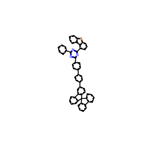 c1ccc(-c2nc(-c3ccc(-c4ccc(-c5ccc6c(c5)-c5ccccc5C65c6ccccc6-c6ccccc65)cc4)cc3)nc(-c3cccc4sc5ccccc5c34)n2)cc1